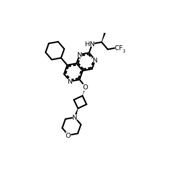 C[C@@H](CC(F)(F)F)Nc1ncc2c(O[C@H]3C[C@H](N4CCOCC4)C3)ncc(C3CCCCC3)c2n1